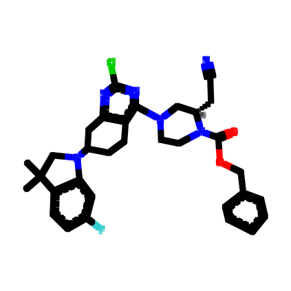 CC1(C)CN(C2CCc3c(nc(Cl)nc3N3CCN(C(=O)OCc4ccccc4)[C@@H](CC#N)C3)C2)c2cc(F)ccc21